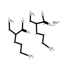 CCCCC(CC)C(=O)[O-].CCCCC(CC)C(=O)[O-].[Mo+2]